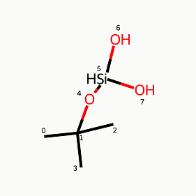 CC(C)(C)O[SiH](O)O